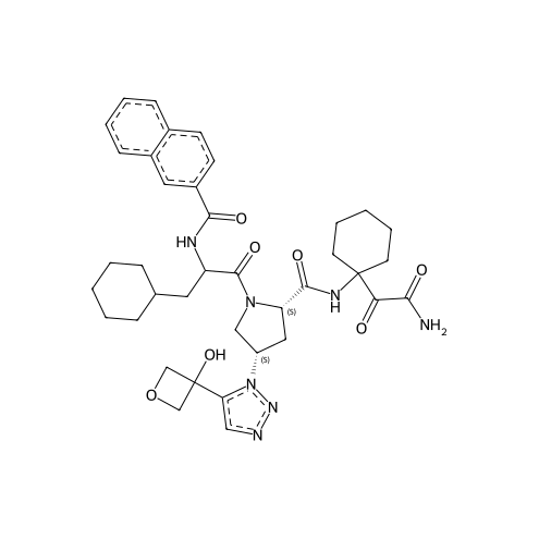 NC(=O)C(=O)C1(NC(=O)[C@@H]2C[C@H](n3nncc3C3(O)COC3)CN2C(=O)C(CC2CCCCC2)NC(=O)c2ccc3ccccc3c2)CCCCC1